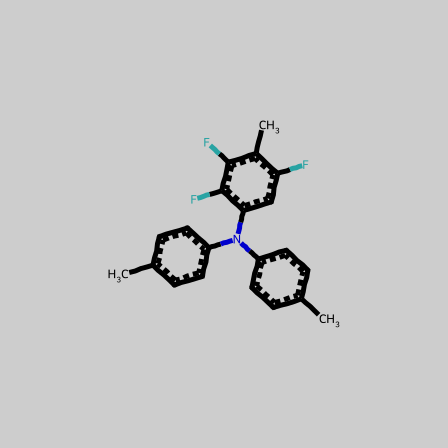 Cc1ccc(N(c2ccc(C)cc2)c2cc(F)c(C)c(F)c2F)cc1